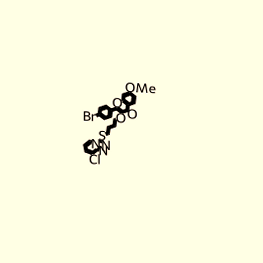 COc1ccc2c(=O)c(OCCCCSc3nnc4c(Cl)cccn34)c(-c3ccc(Br)cc3)oc2c1